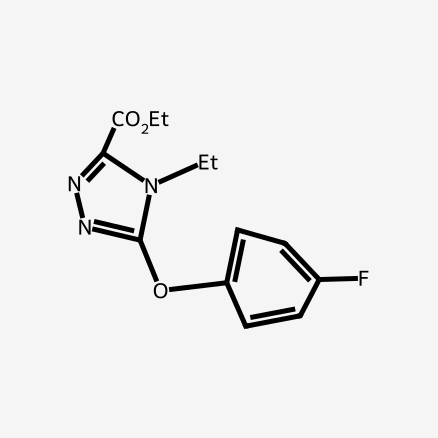 CCOC(=O)c1nnc(Oc2ccc(F)cc2)n1CC